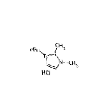 CCCCN1C=CN(C)C1C.Cl